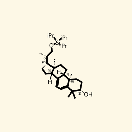 CC(C)[Si](OC[C@@H](C)[C@H]1CC[C@H]2C3=CC=C4C(C)(C)[C@@H](O)CC[C@]4(C)[C@H]3CC[C@]12C)(C(C)C)C(C)C